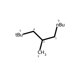 [CH2]CCCCC(C)CC(C)(C)C